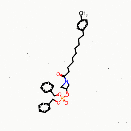 Cc1ccc(CCCCCCCCCC(=O)N2CC(OP(=O)(OCc3ccccc3)OCc3ccccc3)C2)cc1